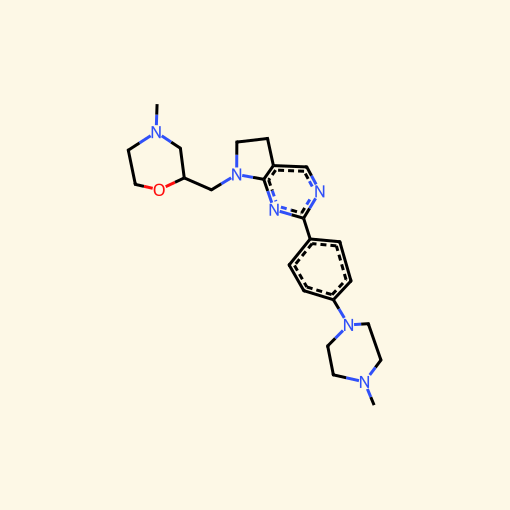 CN1CCN(c2ccc(-c3ncc4c(n3)N(CC3CN(C)CCO3)CC4)cc2)CC1